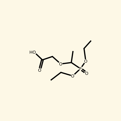 CCOP(=O)(OCC)C(C)OCC(=O)O